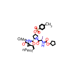 CCCCC/C=C\C1C[C@]1(NC(=O)[C@@H]1C[C@H](OS(=O)(=O)c2ccc(C)cc2)CN1C(=O)[C@H](I)NC(=O)OC1CCCC1)C(=O)OC